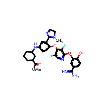 COC(=O)C1CCCC(Nc2ccc(Oc3c(F)cnc(Oc4cc(C(=N)N)ccc4O)c3F)c(C3N=CCN3C)c2)C1